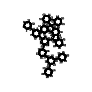 c1ccc(-c2ccc(-c3nc(-c4cccc(-c5cc(-c6ccccc6)cc(-c6ccccc6)c5)c4)nc(-n4c5ccccc5c5ccc6c(c54)-c4ccccc4C64c5ccccc5-c5ccccc54)n3)cc2)cc1